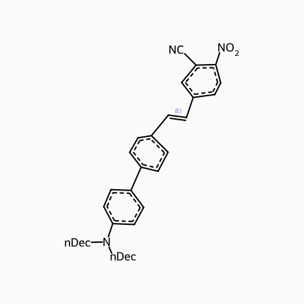 CCCCCCCCCCN(CCCCCCCCCC)c1ccc(-c2ccc(/C=C/c3ccc([N+](=O)[O-])c(C#N)c3)cc2)cc1